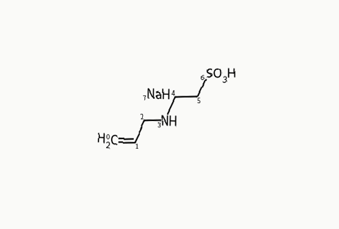 C=CCNCCS(=O)(=O)O.[NaH]